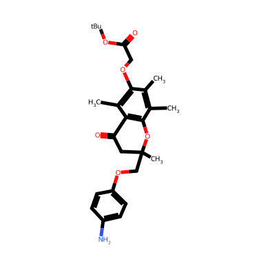 Cc1c(C)c2c(c(C)c1OCC(=O)OC(C)(C)C)C(=O)CC(C)(COc1ccc(N)cc1)O2